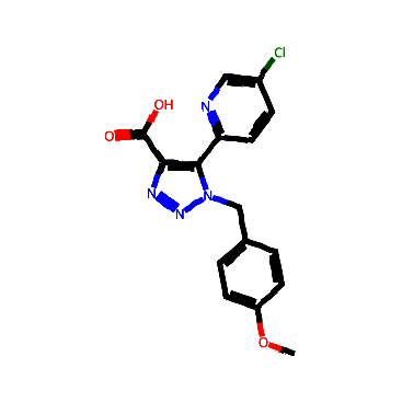 COc1ccc(Cn2nnc(C(=O)O)c2-c2ccc(Cl)cn2)cc1